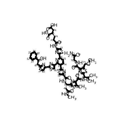 CNC(=O)C[C@H](NC(=O)c1csc(-c2ccc(-c3nc(NC(=O)CC[C@H](CC(=O)O)C(=O)O)cs3)nc2-c2csc(-c3csc(C[C@@H](O)c4ccccc4)n3)n2)n1)c1nc(C(=O)NC(c2nc(C(=O)NCC(N)=O)c(COC)s2)C(C)C)c(C)s1